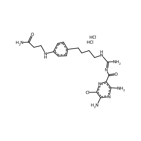 Cl.Cl.NC(=O)CCNc1ccc(CCCCNC(N)=NC(=O)c2nc(Cl)c(N)nc2N)cc1